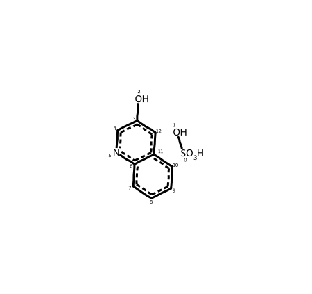 O=S(=O)(O)O.Oc1cnc2ccccc2c1